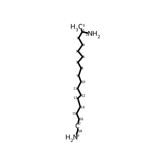 CC(N)CCCCCCCCCCCCCCCCN